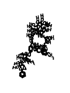 Cc1cccc(N2C(=O)CNC(=O)C(CO)NC(=O)C(C(O)C3CNC(=N)N3C3OC(CO)C(O)C(O)C3O)NC(=O)C(C(O)C3CNC(=N)N3)NC(=O)C(Cc3ccc(OC4OC(CO)C(OC5OC6COC(c7ccccc7)OC6C(O)C5O)C(O)C4O)cc3)NC(=O)C2C)c1